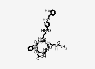 NC(=O)NCCC[C@@H]1NC(=O)[C@H](CCCCNC(=O)c2ccc(NN=Cc3ccccc3S)nc2)NC(=O)[C@@H](Cc2ccccc2)NC(=O)[C@H](CC(=O)O)NC(=O)CNC1=O